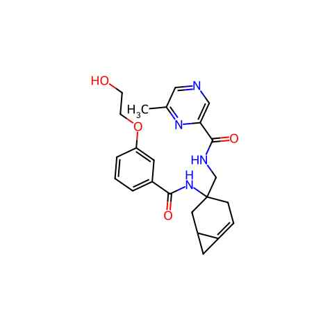 Cc1cncc(C(=O)NCC2(NC(=O)c3cccc(OCCO)c3)CC=C3CC3C2)n1